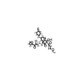 CCOCCNC(=O)c1c(O)c2ncc(Cc3ccc(F)cc3)cc2n(CCCNC(=O)c2ccco2)c1=O